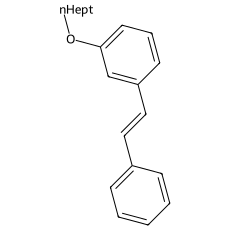 CCCCCCCOc1cccc(C=Cc2ccccc2)c1